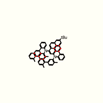 Cc1ccc(-c2c(C)cccc2C)cc1N(c1ccccc1-c1ccccc1)c1cc(N(c2cc(-c3c(C)cccc3C)ccc2C)c2ccccc2-c2ccccc2)c2ccc3cc(C(C)(C)C)cc4ccc1c2c43